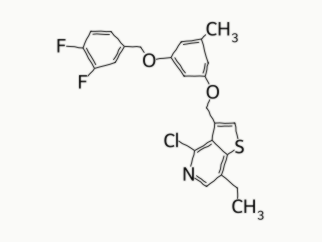 CCc1cnc(Cl)c2c(COc3cc(C)cc(OCc4ccc(F)c(F)c4)c3)csc12